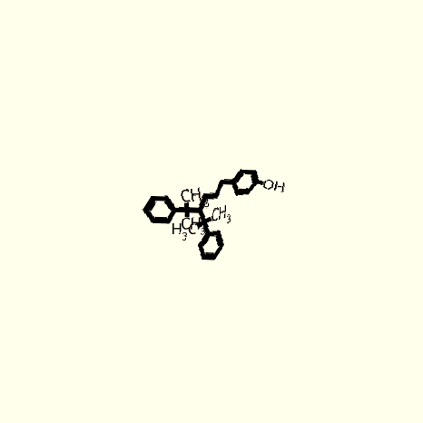 CC(C)(c1ccccc1)C(CCCc1ccc(O)cc1)C(C)(C)c1ccccc1